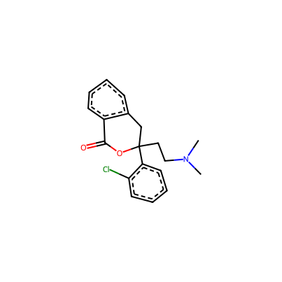 CN(C)CCC1(c2ccccc2Cl)Cc2ccccc2C(=O)O1